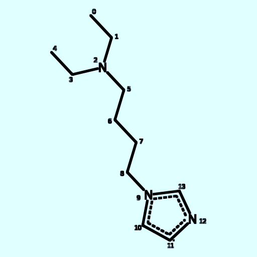 CCN(CC)CCCCn1c[c]nc1